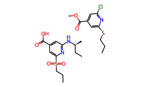 CCCS(=O)(=O)c1cc(C(=O)O)cc(N[C@@H](C)CC)n1.CCCSc1cc(C(=O)OC)cc(Cl)n1